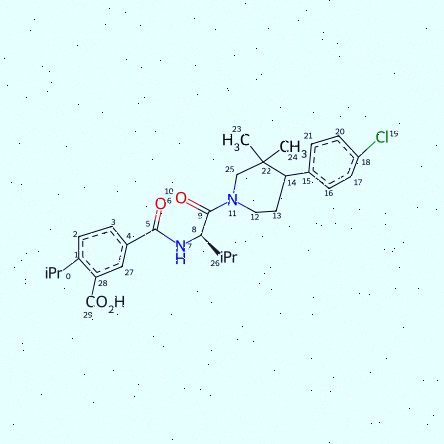 CC(C)c1ccc(C(=O)N[C@@H](C(=O)N2CCC(c3ccc(Cl)cc3)C(C)(C)C2)C(C)C)cc1C(=O)O